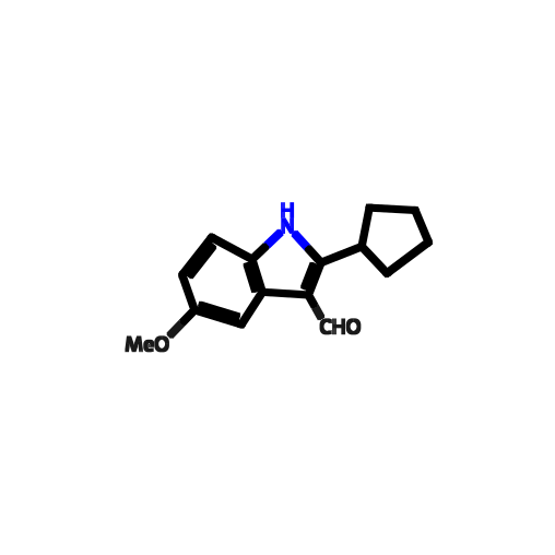 COc1ccc2[nH]c(C3CCCC3)c(C=O)c2c1